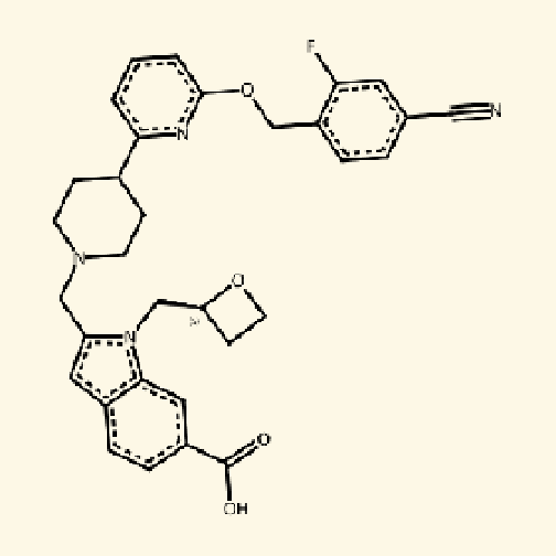 N#Cc1ccc(COc2cccc(C3CCN(Cc4cc5ccc(C(=O)O)cc5n4C[C@@H]4CCO4)CC3)n2)c(F)c1